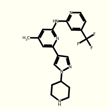 Cc1cc(Nc2cc(C(F)(F)F)ccn2)nc(-c2cnn(C3CCNCC3)c2)c1